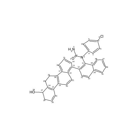 NC(=O)N(c1ccc(Cl)cc1)c1c(-c2cccc3c4c(ccc23)C2=C(CC4)C(O)CC=C2)ccc2ccccc12